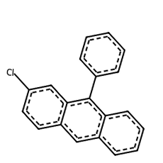 Clc1ccc2cc3ccccc3c(-c3ccccc3)c2c1